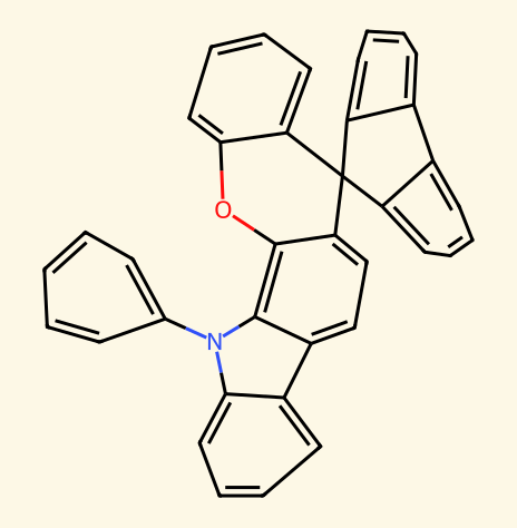 c1ccc(-n2c3ccccc3c3ccc4c(c32)Oc2ccccc2C42c3ccccc3-c3ccccc32)cc1